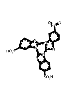 O=[SH](=O)c1ccc2nc3n4c5ccc(S(=O)(=O)O)cc5nc4n4c5cc(S(=O)(=O)O)ccc5nc4n3c2c1